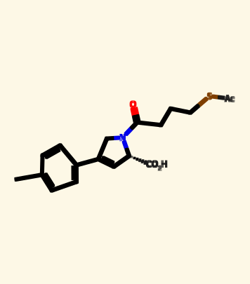 CC(=O)SCCCC(=O)N1CC(c2ccc(C)cc2)=C[C@H]1C(=O)O